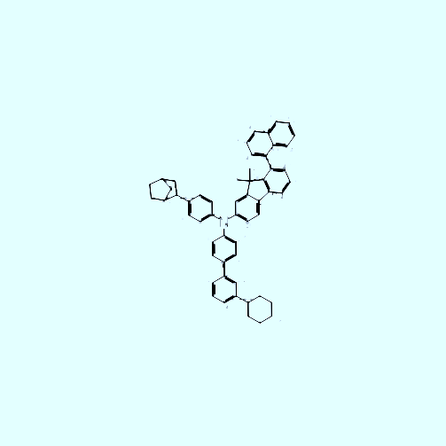 CC1(C)c2cc(N(c3ccc(-c4cccc(C5CCCCC5)c4)cc3)c3ccc(C4CC5CCC4C5)cc3)ccc2-c2cccc(-c3cccc4ccccc34)c21